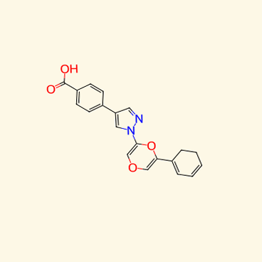 O=C(O)c1ccc(-c2cnn(C3=COC=C(C4=CC=CCC4)O3)c2)cc1